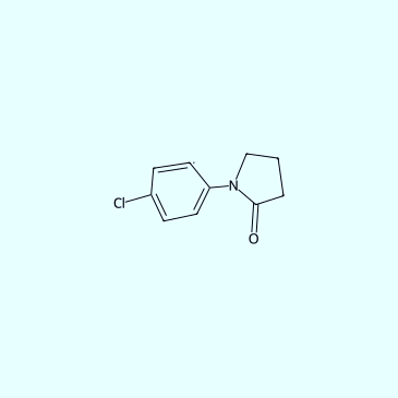 O=C1CCCN1c1[c]cc(Cl)cc1